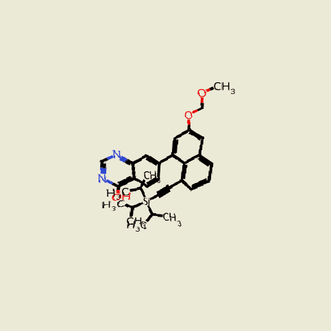 COCOc1cc(-c2ccc3c(O)ncnc3c2)c2c(C#C[Si](C(C)C)(C(C)C)C(C)C)cccc2c1